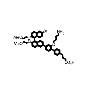 COCCOc1ccc2cc(Br)ccc2c1-c1c(OCCOC)ccc2cc(-c3ccc(-c4ccc(CCCC(=O)O)cc4)c(OCCCCN)c3)ccc12